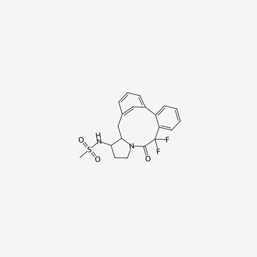 CS(=O)(=O)NC1CCN2C(=O)C(F)(F)c3ccccc3-c3cccc(c3)CC12